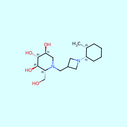 C[C@@H]1CCCC[C@@H]1N1CC(CN2C[C@H](O)[C@@H](O)[C@H](O)[C@H]2CO)C1